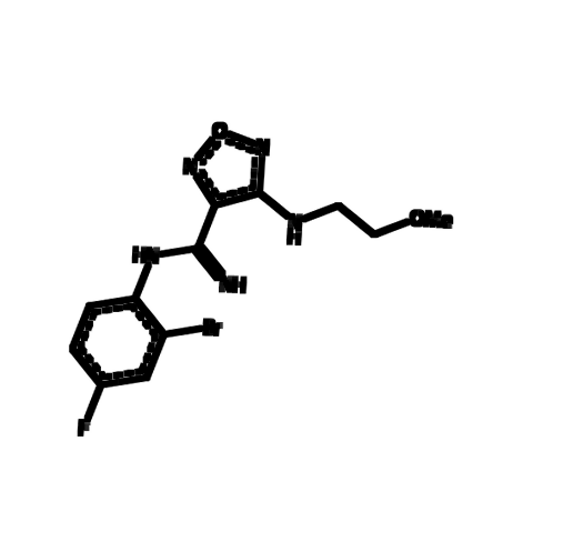 COCCNc1nonc1C(=N)Nc1ccc(F)cc1Br